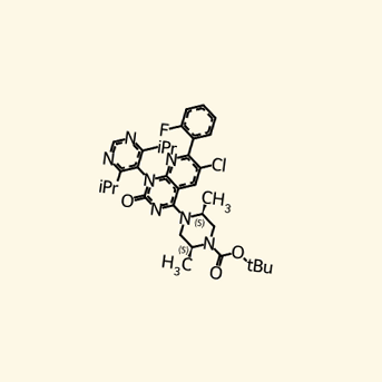 CC(C)c1ncnc(C(C)C)c1-n1c(=O)nc(N2C[C@H](C)N(C(=O)OC(C)(C)C)C[C@@H]2C)c2cc(Cl)c(-c3ccccc3F)nc21